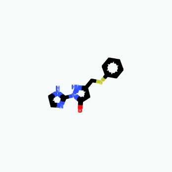 O=c1cc(CSc2ccccc2)[nH]n1-c1ncc[nH]1